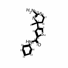 CC1(c2csc(C(=O)Nc3ccccc3)c2)CCSC(N)=N1